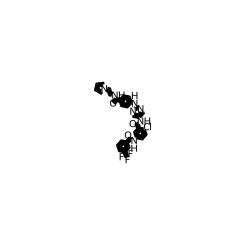 O=C(NCCN1CCCC1)c1ccc(Nc2ncc(NC(=O)c3cc(NC(=O)c4cccc(C(F)(F)F)c4)ccc3Cl)cn2)cc1